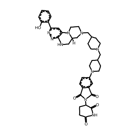 O=C1CCC(N2C(=O)c3ccc(N4CCC(CN5CCC(CN6CCN7c8cc(-c9ccccc9O)nnc8NC[C@H]7C6)CC5)CC4)cc3C2=O)C(=O)N1